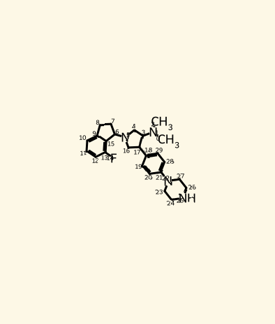 CN(C)C1CN(C2CCc3cccc(F)c32)CC1c1ccc(N2CCNCC2)cc1